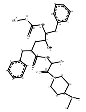 CC(C)C(NC(=O)C(Cc1ccccc1)CC(O)C(Cc1ccccc1)NC(=O)OC(C)(C)C)C(=O)N1CCC(N(C)C)CC1